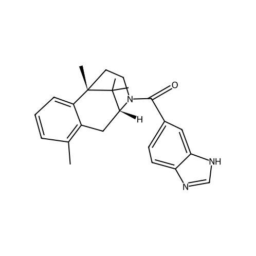 Cc1cccc2c1C[C@H]1N(C(=O)c3ccc4nc[nH]c4c3)CC[C@]2(C)C1(C)C